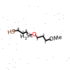 COCCCO[SiH2]CCCS